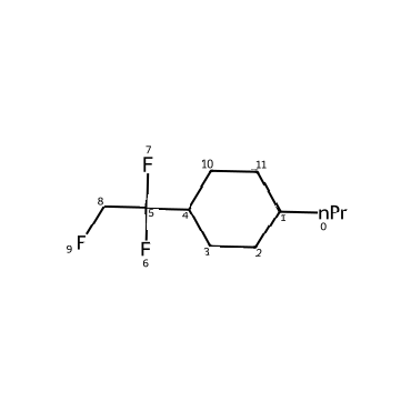 CCCC1CCC(C(F)(F)CF)CC1